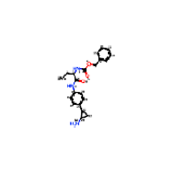 CC(C)CC(NC(=O)OCc1ccccc1)C(=O)Nc1ccc(C2CC2N)cc1